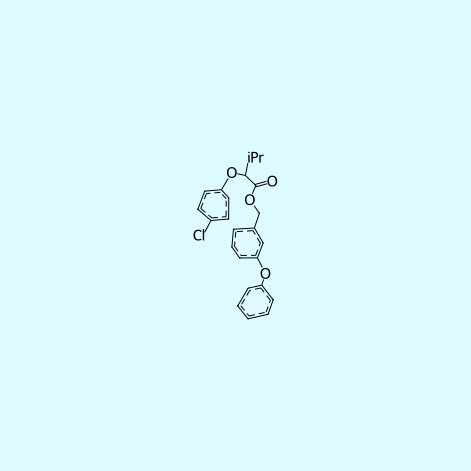 CC(C)C(Oc1ccc(Cl)cc1)C(=O)OCc1cccc(Oc2ccccc2)c1